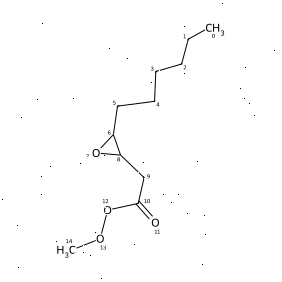 CCCCCCC1OC1CC(=O)OOC